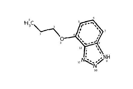 CCCOc1cccc2[nH]nnc12